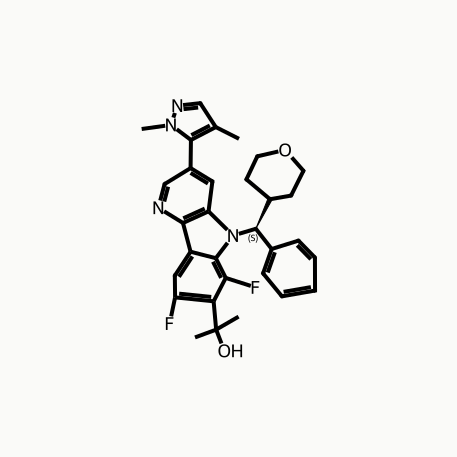 Cc1cnn(C)c1-c1cnc2c3cc(F)c(C(C)(C)O)c(F)c3n([C@H](c3ccccc3)C3CCOCC3)c2c1